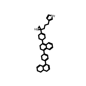 C1=CC2=C(C3=CC=C(C4=c5ccccc5=C(C5CC=C(C6(CCCc7cc[nH]c7)CN6)CC5)CC4)CC3)C=CCC2CC1